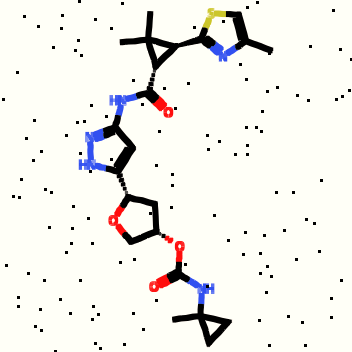 Cc1csc([C@H]2[C@H](C(=O)Nc3cc([C@@H]4C[C@H](OC(=O)NC5(C)CC5)CO4)[nH]n3)C2(C)C)n1